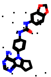 Nc1ncnc2c3c(n(-c4ccc(NC(=O)Nc5ccc6c(c5)OCO6)cc4)c12)CCC3